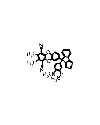 COc1ccc(C2(c3ccc4c(c3)Oc3c(C#N)c(C)c(C)c(C#N)c3O4)c3ccccc3-c3ccccc32)cc1OC